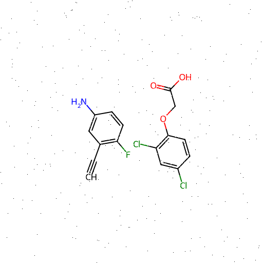 C#Cc1cc(N)ccc1F.O=C(O)COc1ccc(Cl)cc1Cl